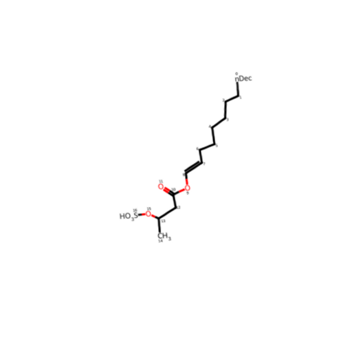 CCCCCCCCCCCCCCCCC=COC(=O)CC(C)OS(=O)(=O)O